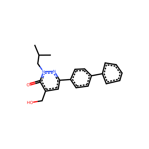 CC(C)Cn1nc(-c2ccc(-c3ccccc3)cc2)cc(CO)c1=O